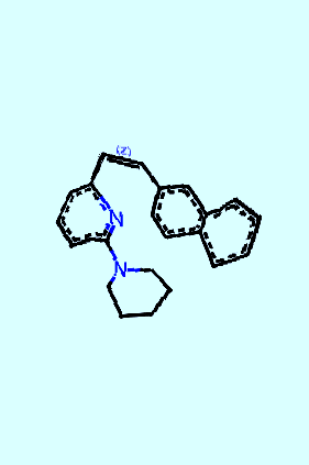 C(=C/c1cccc(N2CCCCC2)n1)/c1ccc2ccccc2c1